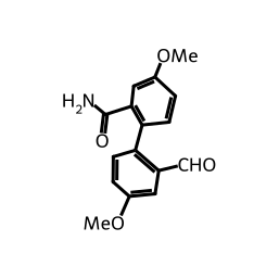 COc1ccc(-c2ccc(OC)cc2C(N)=O)c(C=O)c1